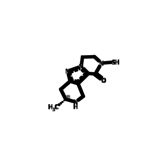 C[C@@H]1Cc2nn3c(c2CN1)C(=O)N(S)CC3